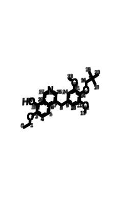 CCOc1ccc2c(Cc3cc(OC)c(OCC(C)(C)C)c(OC)c3)cncc2c1O